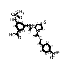 CS(=O)(=O)Nc1cc(NC(=O)[C@@H]2C[C@H]([S])CN2C(=O)OCc2ccc([N+](=O)[O-])cc2)cc(C(=O)O)c1